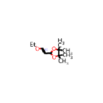 CCO/C=C/C1OC(C)(C)C(C)(C)O1